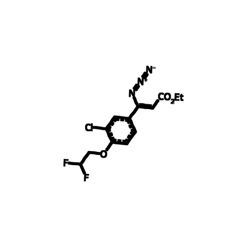 CCOC(=O)C=C(N=[N+]=[N-])c1ccc(OCC(F)F)c(Cl)c1